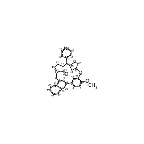 COc1ccc(-c2cc(CN3CCC(Cc4ccncc4)C3=O)c3ccccc3c2)cc1OC1CCCC1